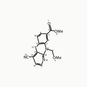 COCN1c2cc(C(=O)OC)ccc2Sc2c(C#N)ccnc21